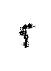 O=C(COc1ccc(N2CCN(C(=O)N3CCC(c4cn[nH]c4)C3)c3ccccc32)cc1)NC1CC1